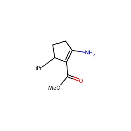 COC(=O)C1=C(N)CCC1C(C)C